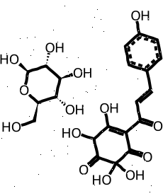 O=C(/C=C/c1ccc(O)cc1)C1=C(O)C(O)C(=O)C(O)(O)C1=O.OC[C@H]1O[C@@H](O)[C@H](O)[C@@H](O)[C@@H]1O